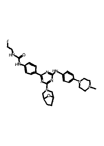 CN1CCN(c2ccc(Nc3nc(-c4ccc(NC(=O)NCCF)cc4)nc(N4CC5CCC(C4)O5)n3)cc2)CC1